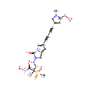 CN1C[C@@H](C#CC#Cc2cc3n(c2)C(=O)N(CCC(C)(C(=O)NO)S(C)(=O)=O)C3)C[C@@H]1CO